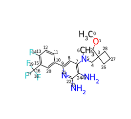 COCC1(CN(C)c2cc(-c3ccc(F)c(C(F)(F)F)c3)nc(N)c2N)CCC1